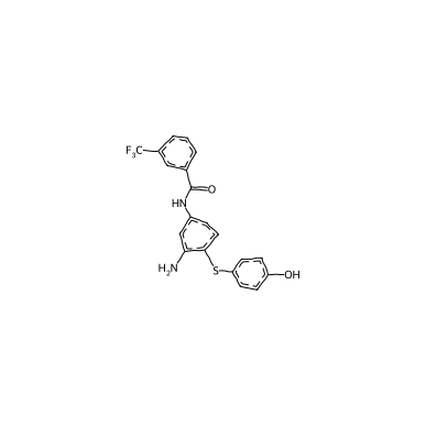 Nc1cc(NC(=O)c2cccc(C(F)(F)F)c2)ccc1Sc1ccc(O)cc1